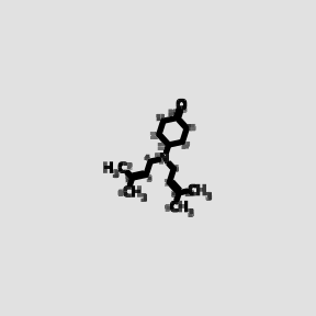 CC(C)=CCN(CC=C(C)C)C1CCC(=O)CC1